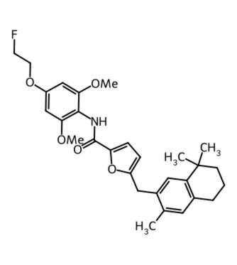 COc1cc(OCCF)cc(OC)c1NC(=O)c1ccc(Cc2cc3c(cc2C)CCCC3(C)C)o1